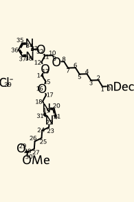 CCCCCCCCCCCCCCCCCCOCC(COCCOCCn1cc[n+](CCCCCC(=O)OC)c1)Oc1ncccn1.[Cl-]